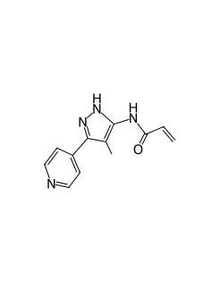 C=CC(=O)Nc1[nH]nc(-c2ccncc2)c1C